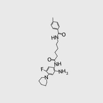 Cc1ccc(C(=O)NCCCCCC(=O)Nc2cc(F)c(N3CCCCC3)cc2N)cc1